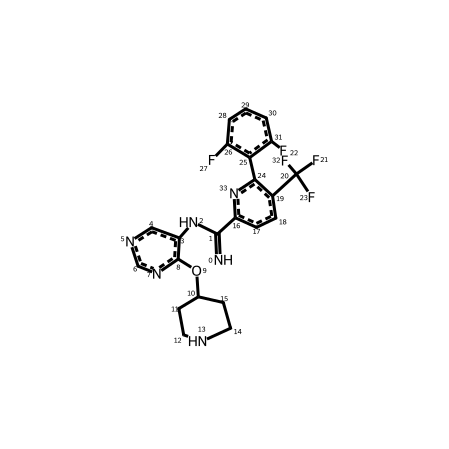 N=C(Nc1cncnc1OC1CCNCC1)c1ccc(C(F)(F)F)c(-c2c(F)cccc2F)n1